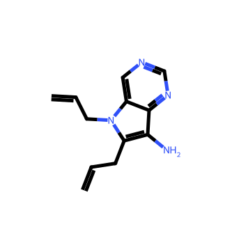 C=CCc1c(N)c2ncncc2n1CC=C